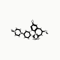 COC1Cc2cc(Cl)ccc2-n2c(nnc2[C@H]2CC[C@H](N3CCN(C)CC3)CC2)C1